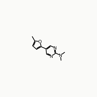 Cc1ccc(-c2cnc(N(C)C)nc2)o1